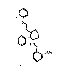 COc1ccccc1CN[C@H]1CCCN(CCOc2ccccc2)[C@H]1c1ccccc1